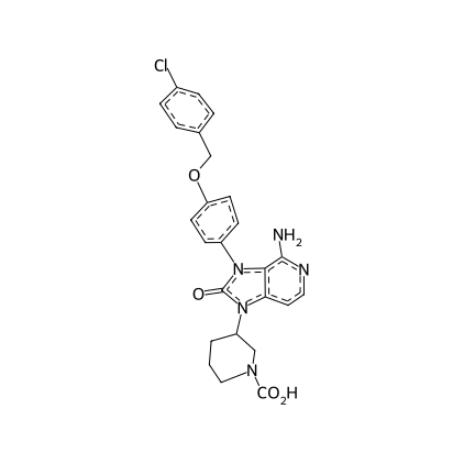 Nc1nccc2c1n(-c1ccc(OCc3ccc(Cl)cc3)cc1)c(=O)n2C1CCCN(C(=O)O)C1